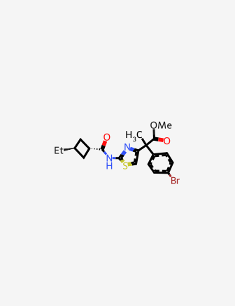 CC[C@H]1C[C@H](C(=O)Nc2nc(C(C)(C(=O)OC)c3ccc(Br)cc3)cs2)C1